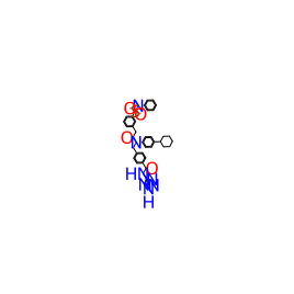 CN(c1ccccc1)S(=O)(=O)c1cccc(CC(=O)N(Cc2ccc(C(=O)Nc3nn[nH]n3)cc2)c2ccc(C3CCCCC3)cc2)c1